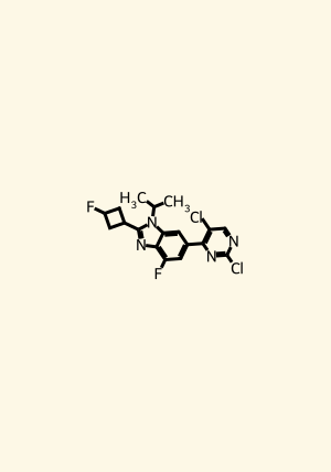 CC(C)n1c(C2CC(F)C2)nc2c(F)cc(-c3nc(Cl)ncc3Cl)cc21